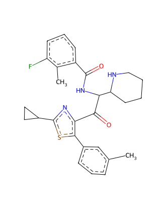 Cc1cccc(-c2sc(C3CC3)nc2C(=O)C(NC(=O)c2cccc(F)c2C)C2CCCCN2)c1